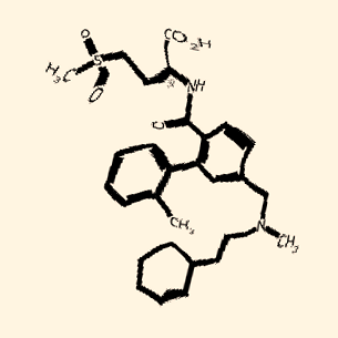 Cc1ccccc1-c1cc(CN(C)CCC2CCCCC2)ccc1C(=O)N[C@@H](CCS(C)(=O)=O)C(=O)O